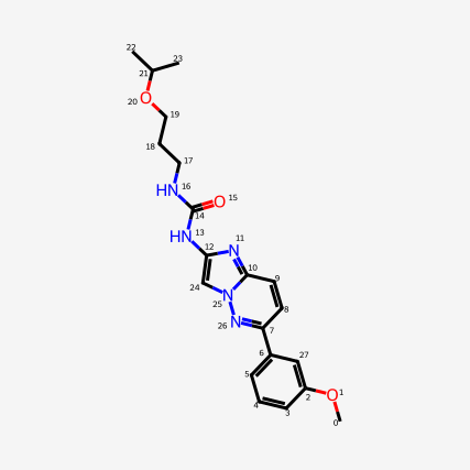 COc1cccc(-c2ccc3nc(NC(=O)NCCCOC(C)C)cn3n2)c1